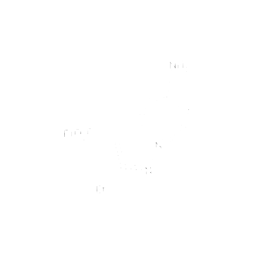 CCOC(=O)c1c(CC)nn2ccc(N)cc12